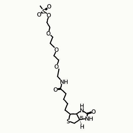 CS(=O)(=O)OCCOCCOCCOCCNC(=O)CCCCC1SC[C@@H]2NC(=O)NC12